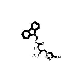 N#Cc1cn(CC(NC(=O)OCC2c3ccccc3-c3ccccc32)C(=O)O)nn1